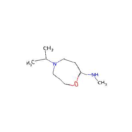 CNC1CCN(C(C)C)CCO1